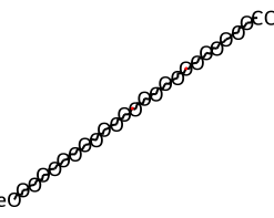 COCCOCCOCCOCCOCCOCCOCCOCCOCCOCCOCCOCCOCCOCCOCCOCCOCCOCCOCCOCCOCCOCCOCCOCCC(=O)O